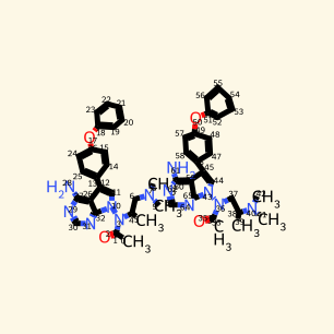 CC(=O)N(C(C)CN(C)C)n1cc(-c2ccc(Oc3ccccc3)cc2)c2c(N)ncnc21.CC(=O)N(CC(C)N(C)C)n1cc(-c2ccc(Oc3ccccc3)cc2)c2c(N)ncnc21